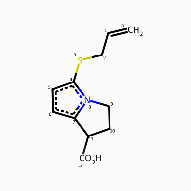 C=CCSc1ccc2n1CCC2C(=O)O